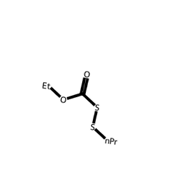 CCCSSC(=O)OCC